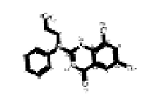 CCCN(c1ccccc1)c1nc(=O)c2cc(Cl)cc(Cl)c2s1